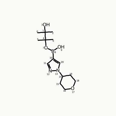 CC(C)(O)C(C)(C)OB(O)c1cnn(C2CCOCC2)c1